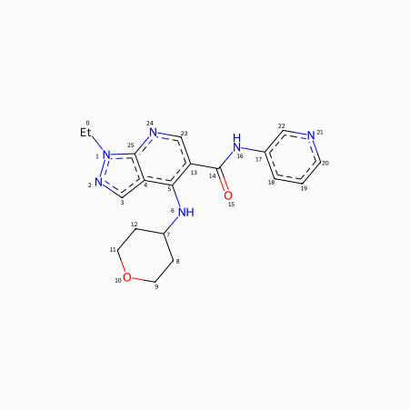 CCn1ncc2c(NC3CCOCC3)c(C(=O)Nc3cccnc3)cnc21